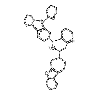 C1=C(c2ccc3c(c2)oc2ccccc23)NC(c2ccc3c4ccccc4n(-c4ccccc4)c3c2)c2cccnc21